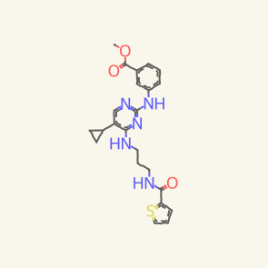 COC(=O)c1cccc(Nc2ncc(C3CC3)c(NCCCNC(=O)c3cccs3)n2)c1